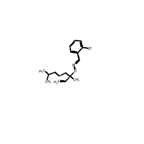 C=CC(C)(CCCC(C)C)ON=Cc1ccccc1Cl